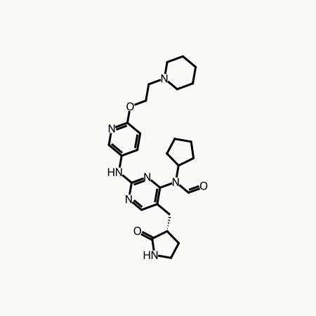 O=CN(c1nc(Nc2ccc(OCCN3CCCCC3)nc2)ncc1C[C@@H]1CCNC1=O)C1CCCC1